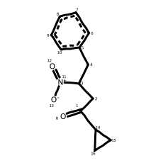 O=C(CC(Cc1ccccc1)[N+](=O)[O-])C1CC1